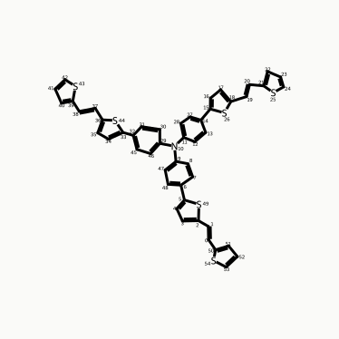 C(=C\c1ccc(-c2ccc(N(c3ccc(-c4ccc(/C=C/c5cccs5)s4)cc3)c3ccc(-c4ccc(/C=C/c5cccs5)s4)cc3)cc2)s1)/c1cccs1